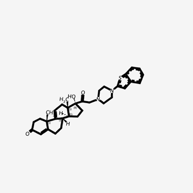 C[C@]12CCC(=O)C=C1CC[C@@H]1C2=CC[C@@]2(C)[C@H]1CC[C@]2(O)C(=O)CN1CCN(c2cc3ccccc3s2)CC1